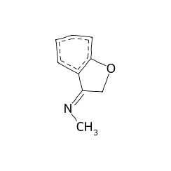 CN=C1COc2ccccc21